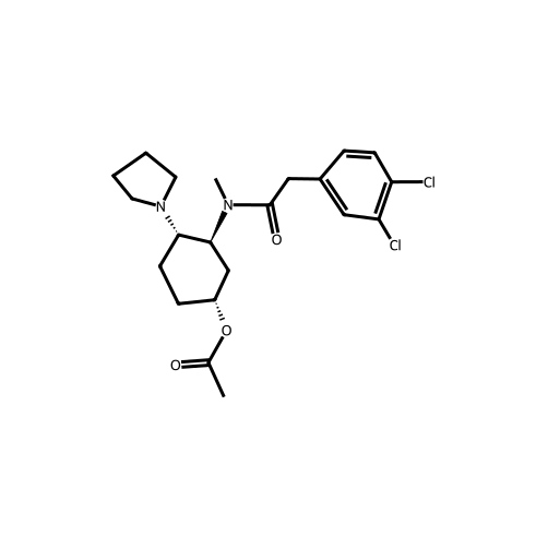 CC(=O)O[C@@H]1CC[C@H](N2CCCC2)[C@@H](N(C)C(=O)Cc2ccc(Cl)c(Cl)c2)C1